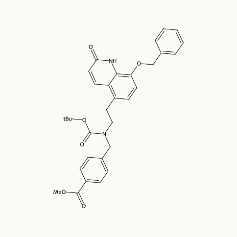 COC(=O)c1ccc(CN(CCc2ccc(OCc3ccccc3)c3[nH]c(=O)ccc23)C(=O)OC(C)(C)C)cc1